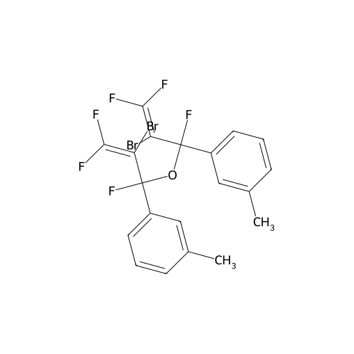 Cc1cccc(C(F)(OC(F)(C(Br)=C(F)F)c2cccc(C)c2)C(Br)=C(F)F)c1